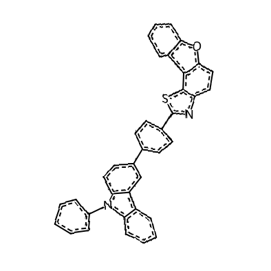 c1ccc(-n2c3ccccc3c3cc(-c4ccc(-c5nc6ccc7oc8ccccc8c7c6s5)cc4)ccc32)cc1